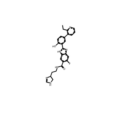 CCc1ncccc1-c1ccc(O)c(-c2nc3cc(F)c(C(=O)NCCC4CNC=N4)cc3[nH]2)c1